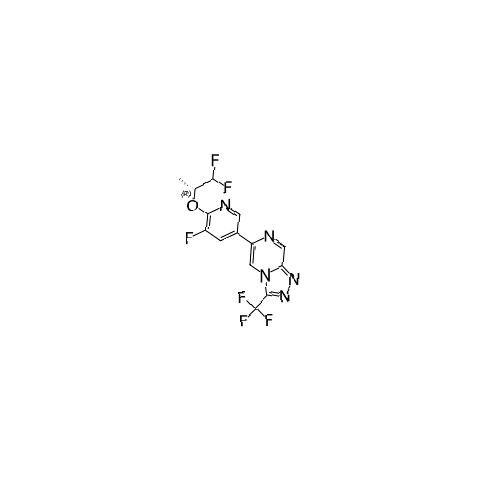 C[C@@H](Oc1ncc(-c2cn3c(C(F)(F)F)nnc3cn2)cc1F)C(F)F